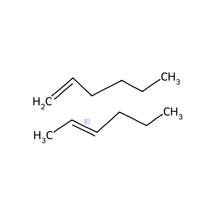 C/C=C/CCC.C=CCCCC